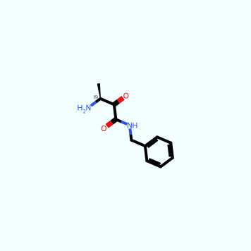 C[C@H](N)C(=O)C(=O)NCc1ccccc1